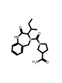 CCC(C)C1C(=O)Nc2ccccc2CN1C(=O)N1CCC(C(N)=O)C1